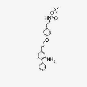 CC(C)(C)OC(=O)NCCc1ccc(OCC=Cc2ccc(-c3ccccc3)c(N)c2)cc1